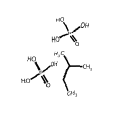 CCC(C)C.O=P(O)(O)O.O=P(O)(O)O